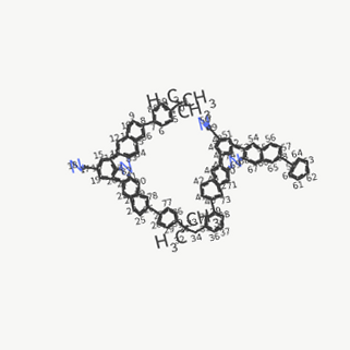 CC(C)(C)c1ccc(-c2ccc3cc4c5cc(C#N)cc6c7cc8ccc(-c9ccc(C(C)(C)Cc%10cccc(-c%11ccc%12cc%13c%14cc(C#N)cc%15c%16cc%17ccc(-c%18ccccc%18)cc%17cc%16n(c%13cc%12c%11)c%15%14)c%10)cc9)cc8cc7n(c4cc3c2)c56)cc1